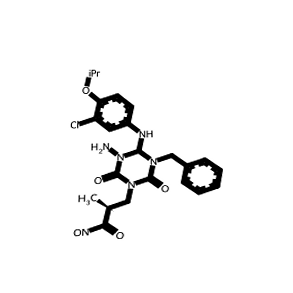 CC(C)Oc1ccc(NC2N(N)C(=O)N(C[C@H](C)C(=O)N=O)C(=O)N2Cc2ccccc2)cc1Cl